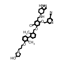 Cc1c(COc2cc(OCc3cncc(C#N)c3)c(CNC3CCc4[nH]ncc4C3)cc2Cl)cccc1-c1cccc(OCCCN2CC[C@@H](O)C2)c1C